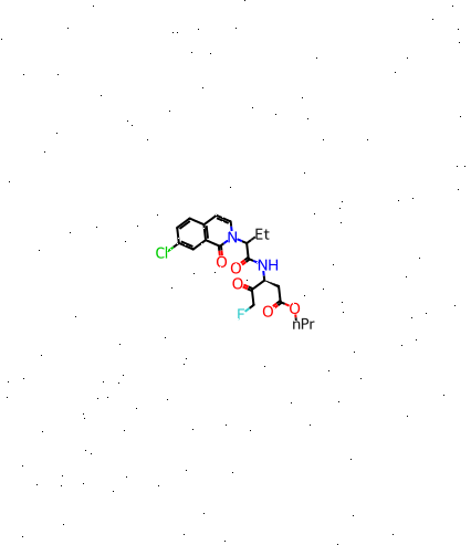 CCCOC(=O)C[C@H](NC(=O)C(CC)n1ccc2ccc(Cl)cc2c1=O)C(=O)CF